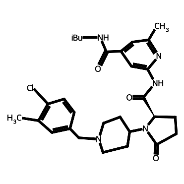 CCC(C)NC(=O)c1cc(C)nc(NC(=O)[C@H]2CCC(=O)N2C2CCN(Cc3ccc(Cl)c(C)c3)CC2)c1